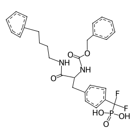 O=C(NC(Cc1ccc(C(F)(F)P(=O)(O)O)cc1)C(=O)NCCCCc1ccccc1)OCc1ccccc1